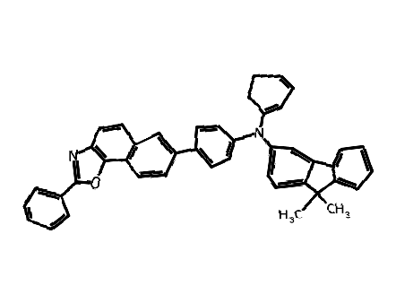 CC1(C)c2ccccc2-c2cc(N(C3=CC=CCC3)c3ccc(-c4ccc5c(ccc6nc(-c7ccccc7)oc65)c4)cc3)ccc21